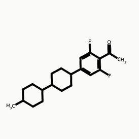 CC(=O)c1c(F)cc(C2CCC(C3CCC(C)CC3)CC2)cc1F